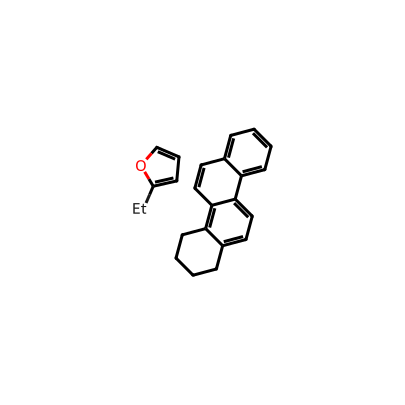 CCc1ccco1.c1ccc2c(c1)ccc1c3c(ccc12)CCCC3